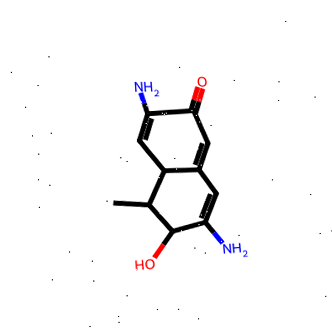 CC1C(O)C(N)=CC2=CC(=O)C(N)=CC21